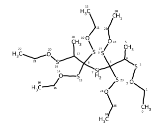 CCOSC(C)C([SiH2]C(SOCC)(SOCC)C(C)SOCC)(SOCC)SOCC